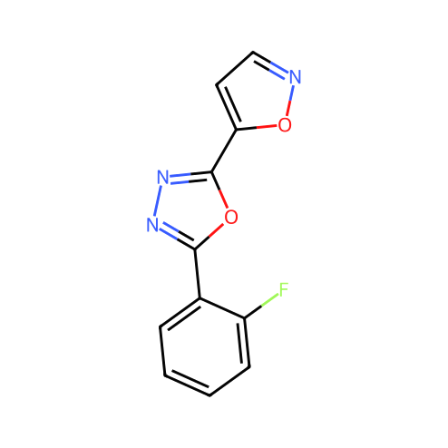 Fc1ccccc1-c1nnc(-c2ccno2)o1